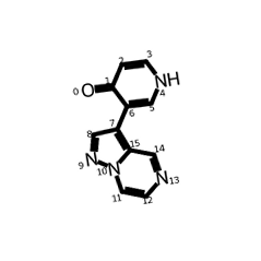 O=c1cc[nH]cc1-c1cnn2ccncc12